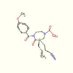 C=CC[C@]1(CCC#N)CN(C(=O)O)CCN(C(=O)c2ccc(OC)cc2)C1=O